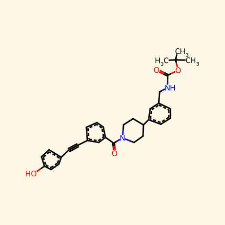 CC(C)(C)OC(=O)NCc1cccc(C2CCN(C(=O)c3cccc(C#Cc4ccc(O)cc4)c3)CC2)c1